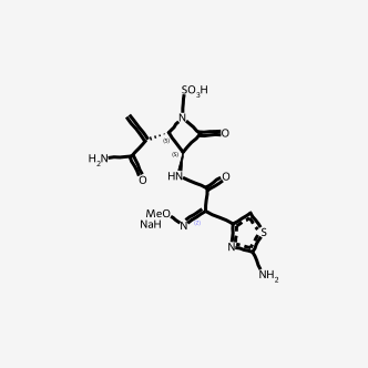 C=C(C(N)=O)[C@H]1[C@H](NC(=O)/C(=N\OC)c2csc(N)n2)C(=O)N1S(=O)(=O)O.[NaH]